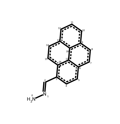 NN=Cc1ccc2ccc3cccc4ccc1c2c34